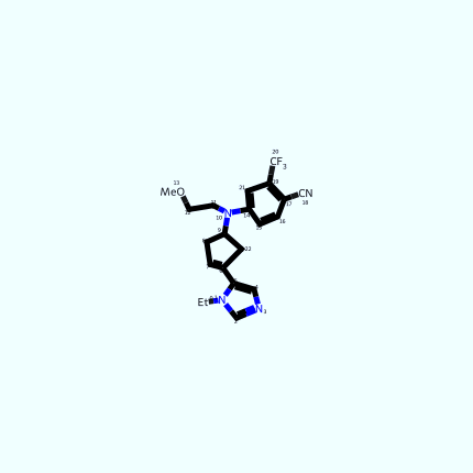 CCn1cncc1C1=CCC(N(CCOC)c2ccc(C#N)c(C(F)(F)F)c2)C1